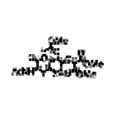 COC(=O)COC(=O)C(Cc1ccc(OC(C(=O)OC)C(=O)OC)cc1)NC(C)=O